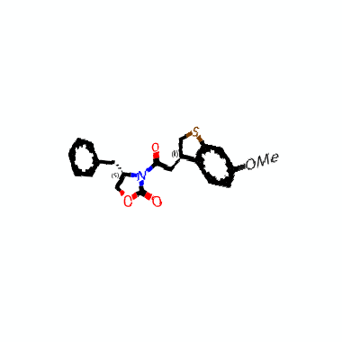 COc1ccc2c(c1)SC[C@@H]2CC(=O)N1C(=O)OC[C@@H]1Cc1ccccc1